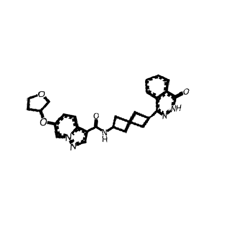 O=C(NC1CC2(C1)CC(c1n[nH]c(=O)c3ccccc13)C2)c1cnn2cc(OC3CCOC3)ccc12